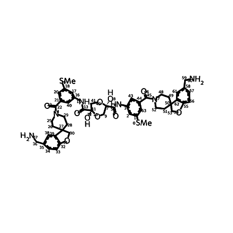 CSc1cc(NC(=O)[C@@]2(O)CO[C@](O)(C(=O)Nc3cc(SC)cc(C(=O)N4CCC5(CC4)COc4ccc(CN)cc45)c3)CO2)cc(C(=O)N2CCC3(CC2)COc2ccc(CN)cc23)c1